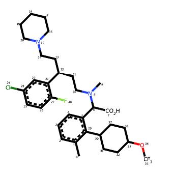 Cc1cccc(C(C(=O)O)N(C)CC[C@H](CCN2CCCCC2)c2cc(Cl)ccc2F)c1C1CCC(OC(F)(F)F)CC1